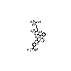 N=C(N)NCCCC(NC(=O)[C@@H](NC(=O)[C@H](Cc1ccc(C(=N)N)cc1)C(=O)N1CCOCC1)c1ccccc1)C(N)=O